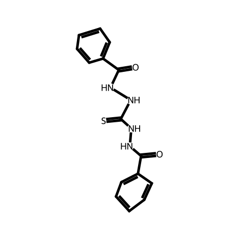 O=C(NNC(=S)NNC(=O)c1ccccc1)c1ccccc1